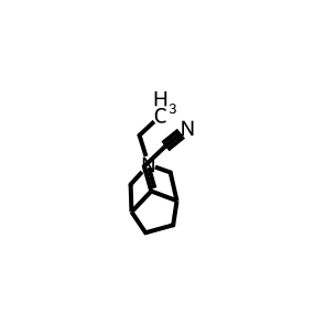 CCN1CC2CCC(C1)C2=CC#N